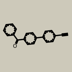 C#Cc1ccc(-c2ccc(C(=O)c3ccccc3)cc2)cc1